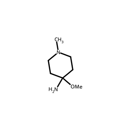 COC1(N)CCN(C)CC1